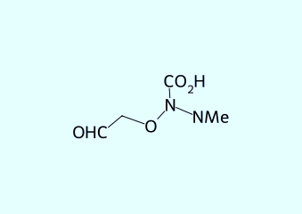 CNN(OCC=O)C(=O)O